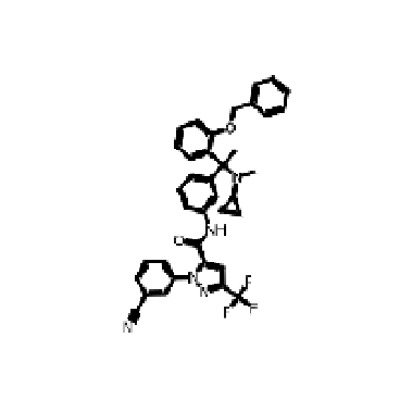 CN(C1CC1)C(C)(c1cccc(NC(=O)c2cc(C(F)(F)F)nn2-c2cccc(C#N)c2)c1)c1ccccc1OCc1ccccc1